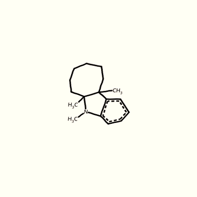 CN1c2ccccc2C2(C)CCCCCCC12C